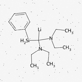 [Li][C]([SiH2]c1ccccc1)(N(CC)CC)N(CC)CC